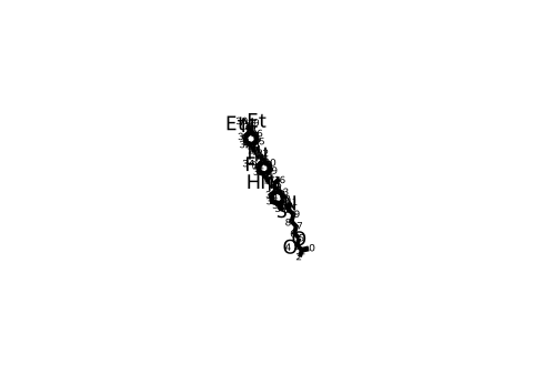 C=C(C)C(=O)OCCCCc1nc2cc(N(C)Nc3ccc(/N=N/c4ccc(N(CC)CC)cc4)c(F)c3)ccc2s1